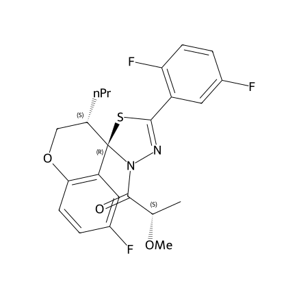 CCC[C@H]1COc2ccc(F)cc2[C@]12SC(c1cc(F)ccc1F)=NN2C(=O)[C@H](C)OC